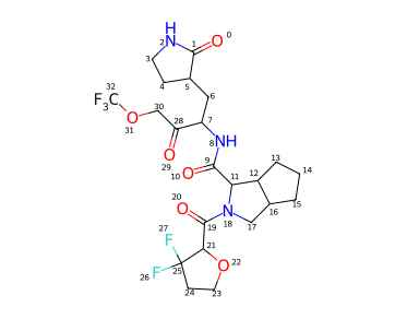 O=C1NCCC1CC(NC(=O)C1C2CCCC2CN1C(=O)C1OCCC1(F)F)C(=O)COC(F)(F)F